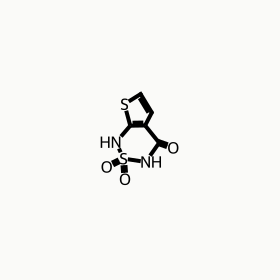 O=C1NS(=O)(=O)Nc2sccc21